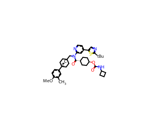 COc1ccc(C23CCC(CN(c4cc(-c5cnc(C(C)(C)C)s5)ccn4)C(=O)[C@H]4CC[C@H](OC(=O)NC5CCC5)CC4)(CC2)CC3)cc1C